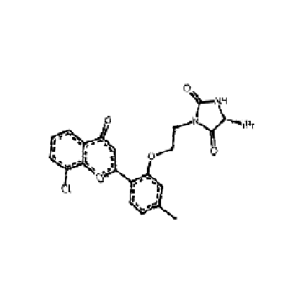 Cc1ccc(-c2cc(=O)c3cccc(Cl)c3o2)c(OCCN2C(=O)N[C@@H](C(C)C)C2=O)c1